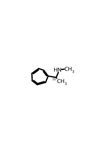 CN[C@@H](C)C1=CC=CC=C=C1